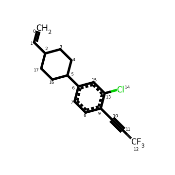 C=CC1CCC(c2ccc(C#CC(F)(F)F)c(Cl)c2)CC1